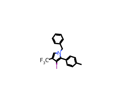 Cc1ccc(-c2c(I)c(C(F)(F)F)cn2Cc2ccccc2)cc1